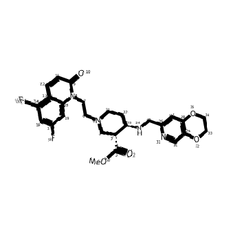 COC(=O)[C@@H]1CN(CCn2c(=O)ccc3c(F)cc(F)cc32)CC[C@H]1NCc1cc2c(cn1)OCCO2